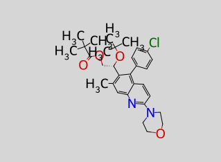 Cc1cc2nc(N3CCOCC3)ccc2c(-c2ccc(Cl)cc2)c1[C@H](COC(=O)C(C)(C)C)OC(C)(C)C